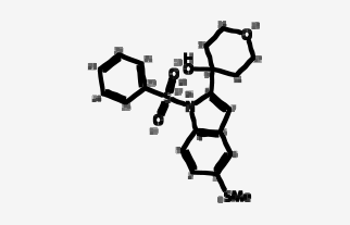 CSc1ccc2c(c1)cc(C1(O)CCOCC1)n2S(=O)(=O)c1ccccc1